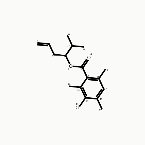 C=CC[C@H](OC(=O)c1c(C)cc(C)c(Cl)c1C)C(C)C